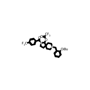 CC(C)COc1ccccc1CN1CCC2(CC1)CCN(C(=O)c1ccc(C(F)(F)F)cc1)C2OC(=O)C(F)(F)F